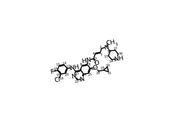 CN(CC=CC(=O)Nc1cc2c(Nc3ccc(F)c(Cl)c3)ncnc2cc1OCC1CC1)C1CCNCC1